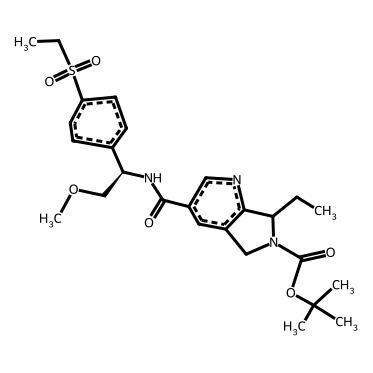 CCC1c2ncc(C(=O)N[C@@H](COC)c3ccc(S(=O)(=O)CC)cc3)cc2CN1C(=O)OC(C)(C)C